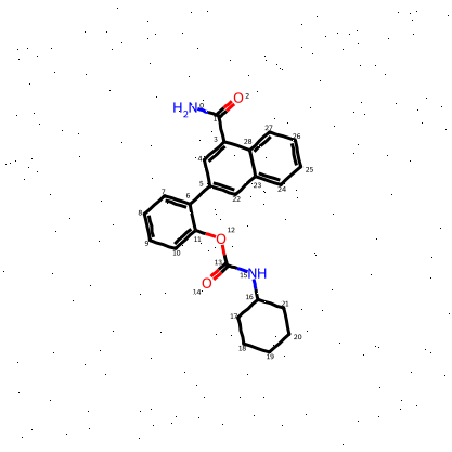 NC(=O)c1cc(-c2ccccc2OC(=O)NC2CCCCC2)cc2ccccc12